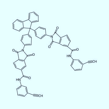 C#Cc1cccc(NC(=O)c2ccc3c(c2)C(=O)N(c2ccc(C4(c5ccc(N6C(=O)c7ccc(C(=O)Nc8cccc(C#C)c8)cc7C6=O)cc5)c5ccccc5-c5ccccc54)cc2)C3=O)c1